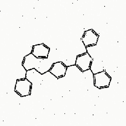 C(=C/C(CCc1ccc(-c2cc(-c3ccccn3)nc(-c3ccccn3)c2)cc1)c1ccccc1)/c1ccccc1